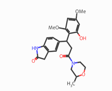 COc1cc(O)c(C(CC(=O)N2CCOC(C)C2)c2ccc3c(c2)CC(=O)N3)c(OC)c1